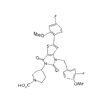 COc1ccc(Cn2c(=O)n(C3CCN(C(=O)O)CC3)c(=O)c3sc(-c4ccc(F)cc4OC)cc32)cc1F